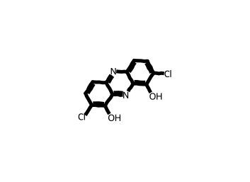 Oc1c(Cl)ccc2nc3ccc(Cl)c(O)c3nc12